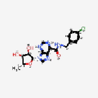 C[C@H]1O[C@@H](n2cnc3c(C(=O)NCc4ccc(Cl)cc4)ncnc32)[C@H](O)[C@@H]1O